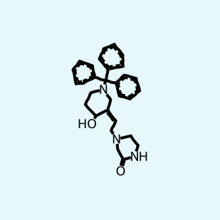 O=C1CN(CC=C2CN(C(c3ccccc3)(c3ccccc3)c3ccccc3)CCC2O)CCN1